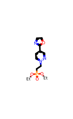 CCOP(=O)(CC[n+]1ccc(-c2ncco2)cn1)OCC